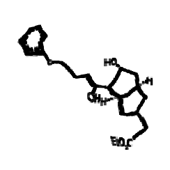 CCOC(=O)C[C@@H]1C[C@@H]2C[C@@H](O)[C@H](C(O)=CCCOc3ccccc3)[C@@H]2C1